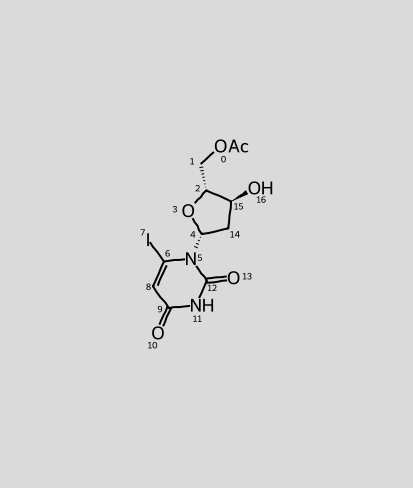 CC(=O)OC[C@H]1O[C@@H](n2c(I)cc(=O)[nH]c2=O)C[C@@H]1O